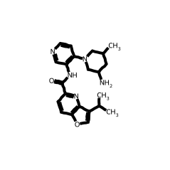 CC1CC(N)CN(c2ccncc2NC(=O)c2ccc3occ(C(C)C)c3n2)C1